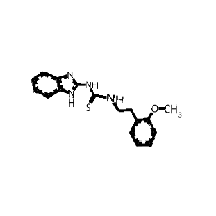 COc1ccccc1CCNC(=S)Nc1nc2ccccc2[nH]1